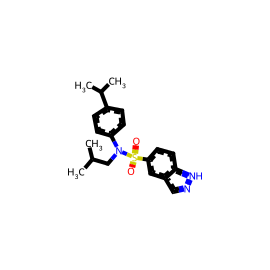 CC(C)CN(c1ccc(C(C)C)cc1)S(=O)(=O)c1ccc2[nH]ncc2c1